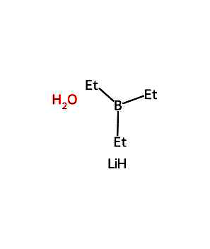 CCB(CC)CC.O.[LiH]